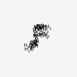 COC(=O)N[C@H](C(=O)N1CCC[C@H]1c1nc2ccc([C@@H]3CC[C@@H](c4ccc(-c5cnc([C@@H]6CCCN6C(=O)[C@@](C)(OC(N)=O)C(C)C)[nH]5)cc4)N3c3ccc(C(C)(C)C)cc3)cc2[nH]1)C(C)C